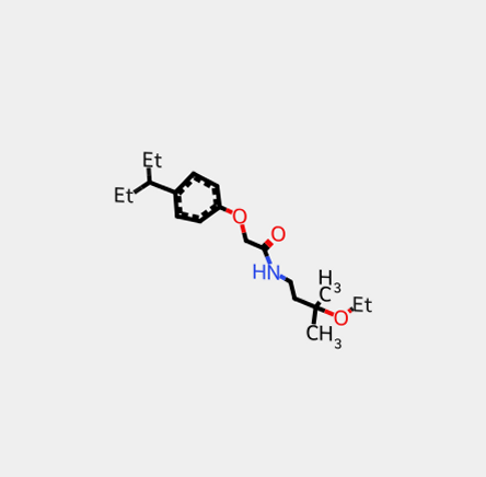 CCOC(C)(C)CCNC(=O)COc1ccc(C(CC)CC)cc1